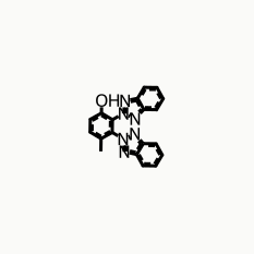 Cc1ccc(O)c(-n2nc3ccccc3n2)c1-n1nc2ccccc2n1